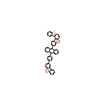 c1ccc2c(c1)oc1ccc(-c3ccc(-c4c5ccccc5c(-c5ccc6c(c5)oc5ccc7sc8ccccc8c7c56)c5ccccc45)cc3)cc12